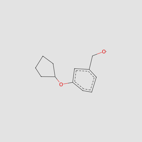 [O]Cc1cccc(OC2CCCC2)c1